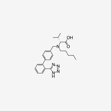 CCCCCN(Cc1ccc(-c2ccccc2-c2nnn[nH]2)cc1)[C@@H](C(=O)O)C(C)C